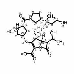 CC(O)[C@H]1C(=O)N2C(C(=O)[O-])=C(S[C@@H]3CN[C@H](C(=O)N4CC[C@H]([N+](C)(C)CCO)C4)C3)[C@H](C)[C@H]12.Cl